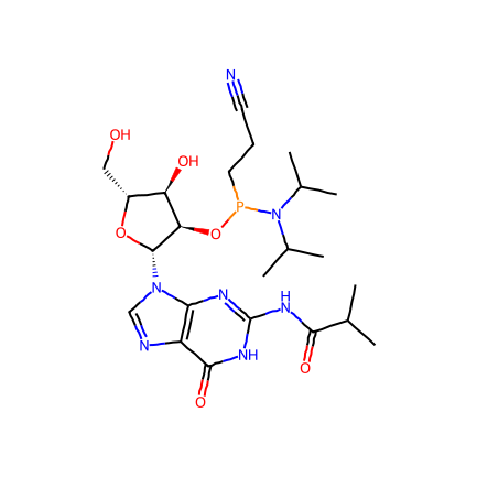 CC(C)C(=O)Nc1nc2c(ncn2[C@@H]2O[C@H](CO)[C@@H](O)[C@H]2OP(CCC#N)N(C(C)C)C(C)C)c(=O)[nH]1